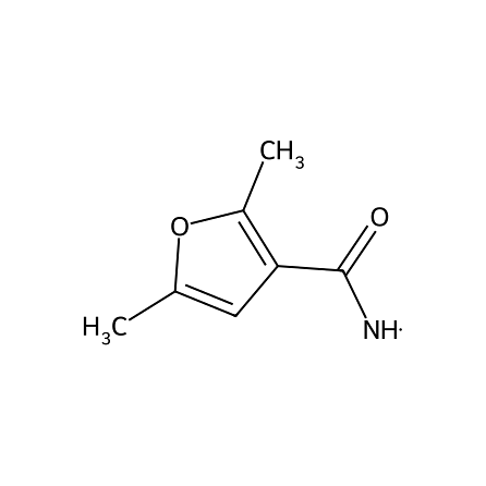 Cc1cc(C([NH])=O)c(C)o1